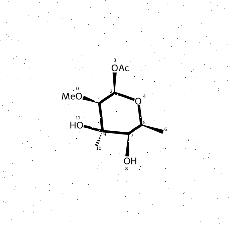 CO[C@H]1[C@@H](OC(C)=O)O[C@@H](C)[C@@H](O)[C@@]1(C)O